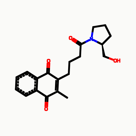 CC1=C(CCCC(=O)N2CCC[C@H]2CO)C(=O)c2ccccc2C1=O